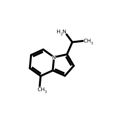 Cc1cccn2c(C(C)N)ccc12